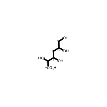 O=C(O)C(O)C(O)CC(O)CO